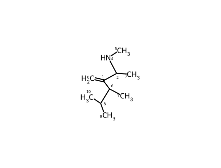 C=C(C(C)NC)C(C)C(C)C